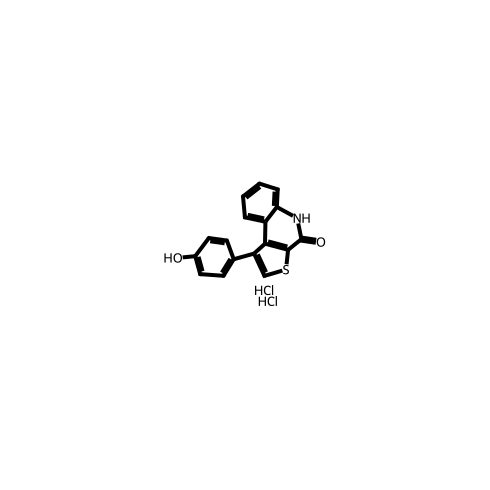 Cl.Cl.O=c1[nH]c2ccccc2c2c(-c3ccc(O)cc3)csc12